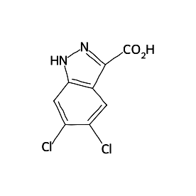 O=C(O)c1n[nH]c2cc(Cl)c(Cl)cc12